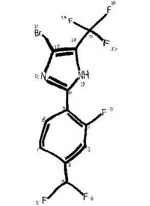 Fc1cc(C(F)F)ccc1-c1nc(Br)c(C(F)(F)F)[nH]1